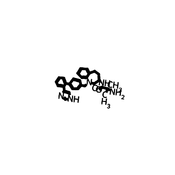 CC(C)(N)C(=O)N[C@@H]1CCc2ccccc2N(Cc2ccc(-c3ccccc3-c3c[nH]cn3)cc2)C1=O